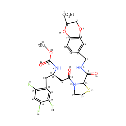 CCOC(=O)C1COc2cc(CNC(=O)C3SCCN3C(=O)C[C@@H](Cc3cc(F)c(F)cc3F)NC(=O)OC(C)(C)C)ccc2O1